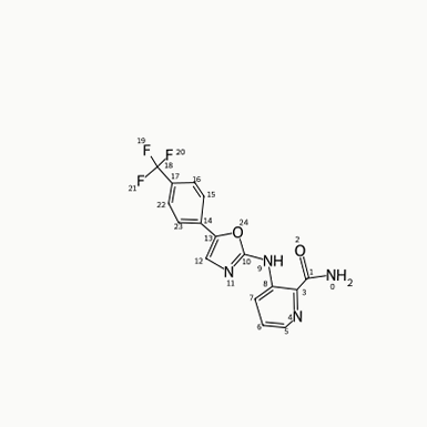 NC(=O)c1ncccc1Nc1ncc(-c2ccc(C(F)(F)F)cc2)o1